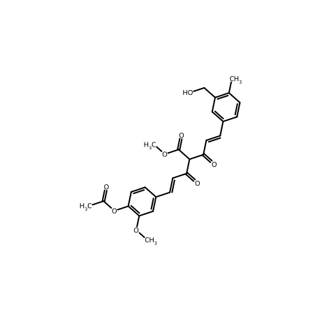 COC(=O)C(C(=O)/C=C/c1ccc(C)c(CO)c1)C(=O)/C=C/c1ccc(OC(C)=O)c(OC)c1